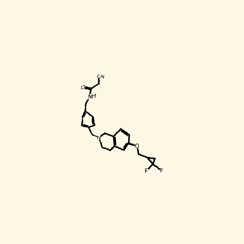 N#CCC(=O)NCc1ccc(CN2CCc3cc(OCC4CC4(F)F)ccc3C2)cc1